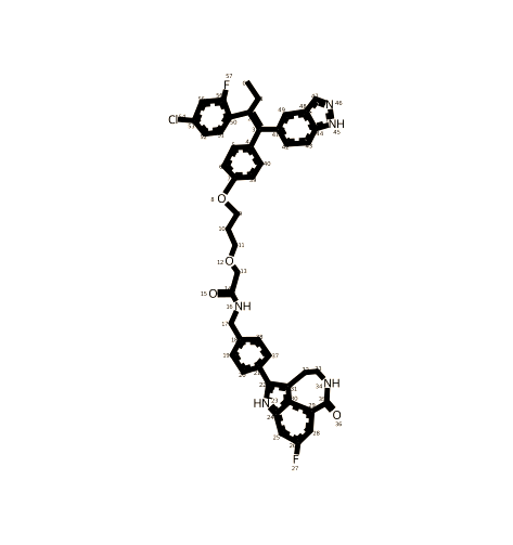 CC/C(=C(/c1ccc(OCCCOCC(=O)NCc2ccc(-c3[nH]c4cc(F)cc5c4c3CCNC5=O)cc2)cc1)c1ccc2[nH]ncc2c1)c1ccc(Cl)cc1F